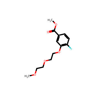 COCCOCCOc1cc(C(=O)OC)ccc1F